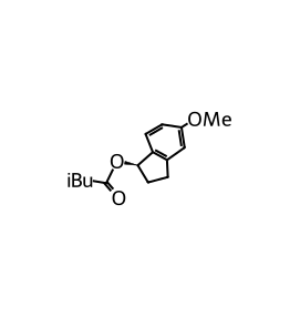 CCC(C)C(=O)O[C@@H]1CCc2cc(OC)ccc21